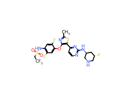 Cc1nc(Oc2cc(F)c(NS(=O)(=O)CC(F)(F)F)cc2F)c(-c2ccnc(N[C@@H]3CNC[C@@H](F)C3)n2)s1